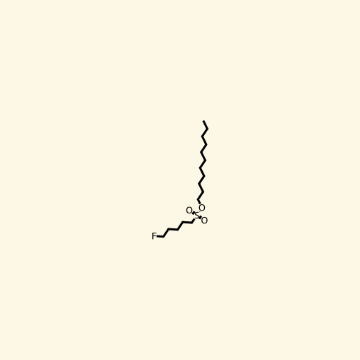 CCCCCCCCCCCOS(=O)(=O)CCCCCF